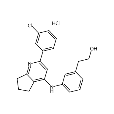 Cl.OCCc1cccc(Nc2cc(-c3cccc(Cl)c3)nc3c2CCC3)c1